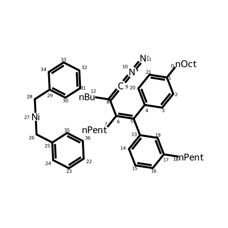 CCCCCCCCc1ccc(C(=C(CCCCC)C(=C=[N+]=[N-])CCCC)c2cccc(CCCCC)c2)cc1.c1ccc([CH2][Ni][CH2]c2ccccc2)cc1